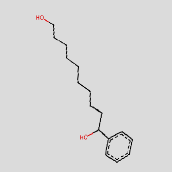 OCCCCCCCCCC(O)c1ccccc1